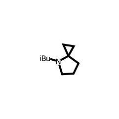 CCC(C)N1CCCC12CC2